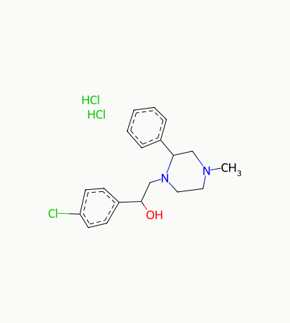 CN1CCN(CC(O)c2ccc(Cl)cc2)C(c2ccccc2)C1.Cl.Cl